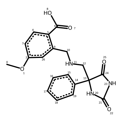 COc1ccc(C(=O)O)c(CNCC2(c3ccccc3)NC(=O)NC2=O)c1